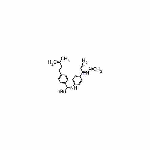 C=C/C(=N\N=C)c1ccc(NC(CCCC)c2ccc(CCC(=C)C)cc2)cc1